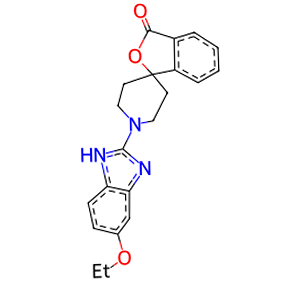 CCOc1ccc2[nH]c(N3CCC4(CC3)OC(=O)c3ccccc34)nc2c1